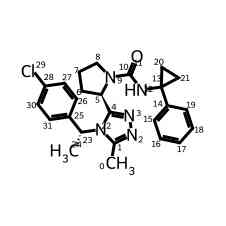 Cc1nnc([C@H]2CCCN2C(=O)NC2(c3ccccc3)CC2)n1[C@H](C)c1ccc(Cl)cc1